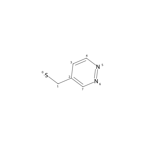 [S]Cc1ccnnc1